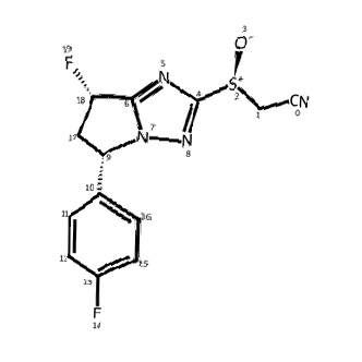 N#CC[S@+]([O-])c1nc2n(n1)[C@H](c1ccc(F)cc1)C[C@@H]2F